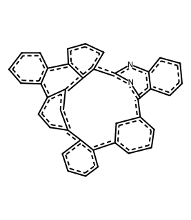 c1cc2cc(c1)c1nc(nc3ccccc31)c1cccc3c4ccccc4c4ccc(cc4c13)c1ccccc21